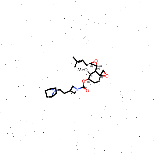 CO[C@H]1C([C@@]2(C)O[C@@H]2CC=C(C)C)[C@]2(CC[C@H]1OC(=O)N1CC(CCN3C4CCC3CC4)C1)CO2